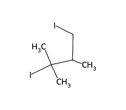 CC(CI)C(C)(C)I